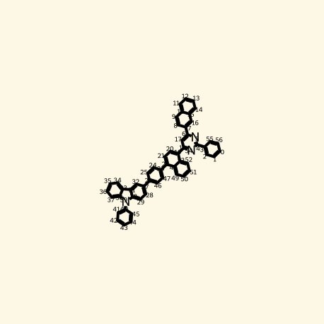 c1ccc(-c2nc(-c3ccc4ccccc4c3)cc(-c3ccc(-c4ccc(-c5ccc6c(c5)c5ccccc5n6-c5ccccc5)cc4)c4ccccc34)n2)cc1